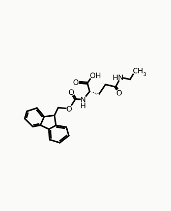 CCNC(=O)CC[C@H](NC(=O)OCC1c2ccccc2-c2ccccc21)C(=O)O